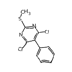 CSc1nc(Cl)c(-c2ccccc2)c(Cl)n1